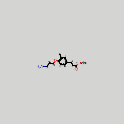 Cc1cc(CCC(=O)OC(C)(C)C)ccc1OCCCN